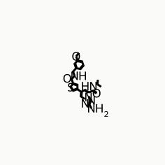 COc1cccc(CNC(=O)c2cc(-c3cc(C(=O)NC(C)C)n4nc(N)nc4c3)cs2)c1